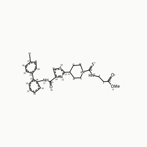 COC(=O)CCNC(=S)N1CCC(c2nc(C(=O)Nc3ccccc3-c3ccc(C)cc3)cs2)CC1